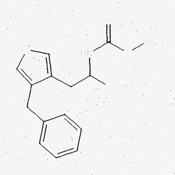 CC(C)(C)OC(=O)NC(Cc1cscc1Cc1ccccc1)C(=O)O